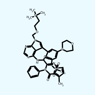 Cc1ccn2nc(C(C)Nc3ncnc4c3c(-c3cc(NS(C)(=O)=O)cc(N5CCOCC5)c3)cn4COCC[Si](C)(C)C)n(-c3ccccc3)c(=O)c12